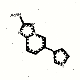 CC(=O)Nc1nc2ccc(-c3ccsc3)cn2n1